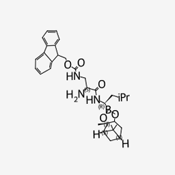 CC(C)C[C@H](NC(=O)[C@@H](N)CNC(=O)OCC1c2ccccc2-c2ccccc21)B1OC2C[C@@H]3C[C@@H](C3(C)C)[C@]2(C)O1